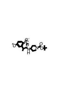 COc1ccc([N+](=O)[O-])c(C(C)CNC2CCN(C(=O)OC(C)(C)C)CC2)c1